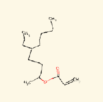 C=CC(=O)OC(C)CCC(CC)CCCC